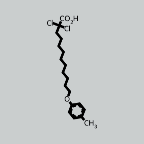 Cc1ccc(OCCCCCCCCCCC(Cl)(Cl)C(=O)O)cc1